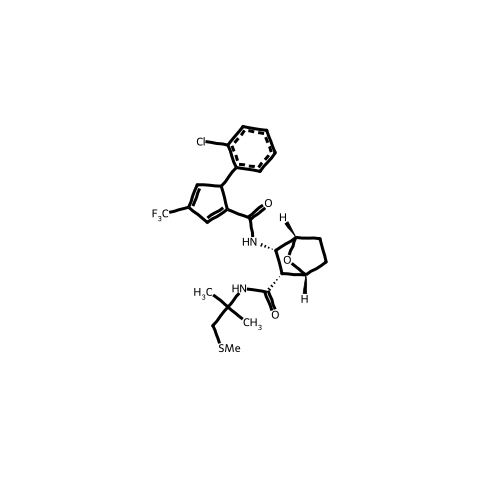 CSCC(C)(C)NC(=O)[C@@H]1[C@H](NC(=O)C2=CC(C(F)(F)F)=CC2c2ccccc2Cl)[C@@H]2CC[C@H]1O2